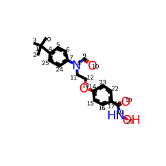 CC(C)(C)c1ccc(N(C=O)CCOc2ccc(C(=O)NO)cc2)cc1